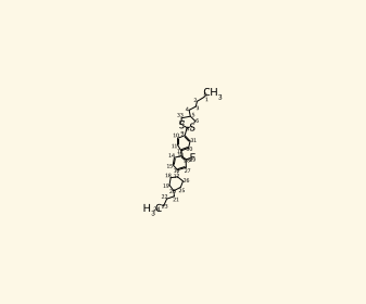 CCCCCC1CSC(c2ccc(-c3ccc([C@H]4CC[C@H](CCCC)CC4)cc3F)cc2)SC1